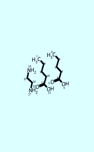 CCCCC(=O)O.CCCCC(=O)O.NCCN